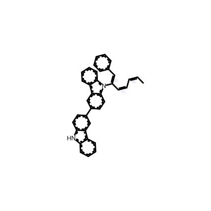 C\C=C/C=C\C(=C\c1ccccc1)n1c2ccccc2c2cc(-c3ccc4[nH]c5ccccc5c4c3)ccc21